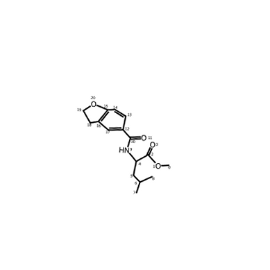 COC(=O)C(CC(C)C)NC(=O)c1ccc2c(c1)CCO2